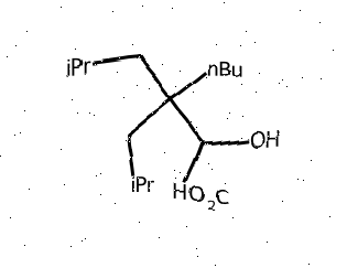 CCCCC(CC(C)C)(CC(C)C)C(O)C(=O)O